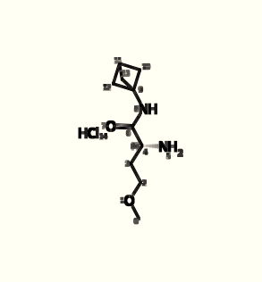 COCC[C@@H](N)C(=O)NC12CC(C1)C2.Cl